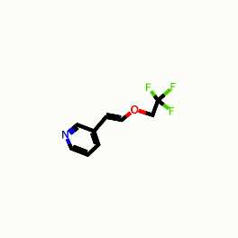 FC(F)(F)COC=Cc1cccnc1